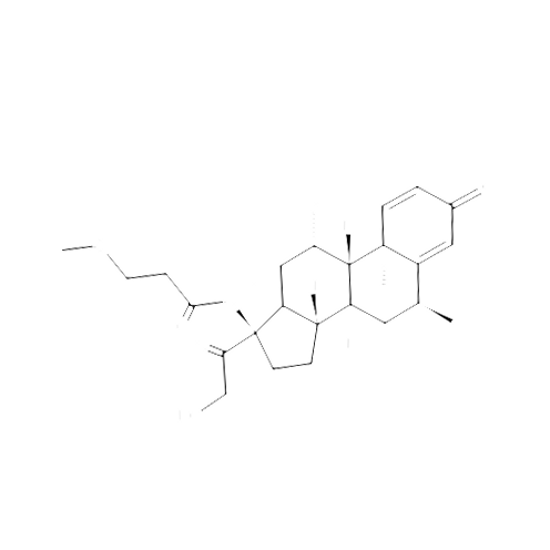 COCCC(=O)O[C@]1(C(=O)CO)CC[C@H]2[C@@H]3C[C@H](C)C4=CC(=O)C=C[C@]4(C)[C@H]3[C@@H](O)C[C@@]21C